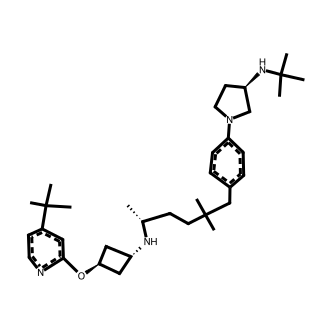 C[C@H](CCC(C)(C)Cc1ccc(N2CC[C@@H](NC(C)(C)C)C2)cc1)N[C@H]1C[C@H](Oc2cc(C(C)(C)C)ccn2)C1